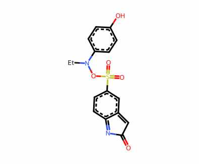 CCN(OS(=O)(=O)c1ccc2c(c1)=CC(=O)N=2)c1ccc(O)cc1